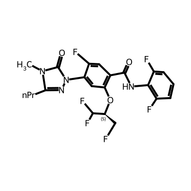 CCCc1nn(-c2cc(O[C@@H](CF)C(F)F)c(C(=O)Nc3c(F)cccc3F)cc2F)c(=O)n1C